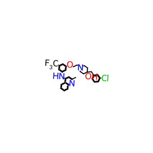 Cc1cc(Nc2cc(OCCN3CCC(O)(Cc4cccc(Cl)c4)CC3)cc(C(F)(F)F)c2)c2ccccc2n1